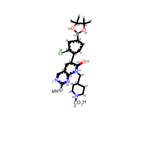 CSc1ncc2cc(-c3ccc(B4OC(C)(C)C(C)(C)O4)cc3Cl)c(=O)n(CC3CCN(C(=O)O)CC3)c2n1